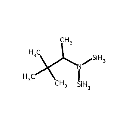 CC(N([SiH3])[SiH3])C(C)(C)C